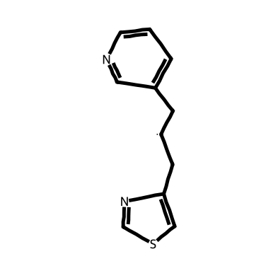 [CH](Cc1cccnc1)Cc1cscn1